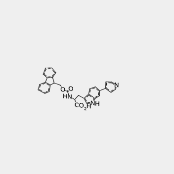 O=C(NC(Cc1c[nH]c2cc(-c3ccncc3)ccc12)C(=O)O)OCC1c2ccccc2-c2ccccc21